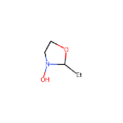 CCC1OCCN1O